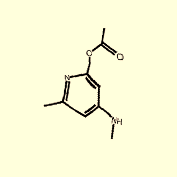 CNc1cc(C)nc(OC(C)=O)c1